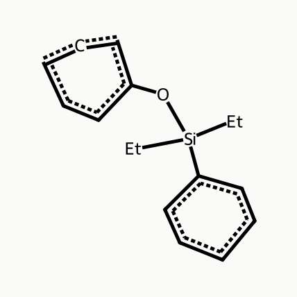 CC[Si](CC)(Oc1ccccc1)c1ccccc1